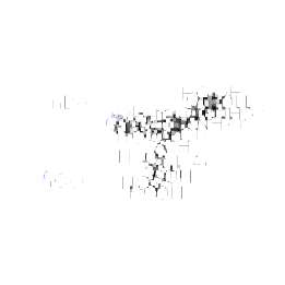 CCCCCCCC/C=C\CCCCCCCCCCCCCCCC(=O)N[C@@H](CO[C@@H]1OC(CO)[C@@H](O[C@@H]2OC(CO[C@@H]3OC(CO)[C@@H](O[C@@H]4OC(CO)[C@H](O)[C@H](O)C4O)[C@H](O)C3NC(C)=O)[C@H](O)[C@H](O[C@H]3OC(CO)[C@H](O)[C@H](O[C@@H]4OC(CO)[C@H](O)[C@H](O[C@H]5OC(CO)[C@H](O)[C@H](O)C5NC(C)=O)C4NC(C)=O)C3O)C2O)[C@H](O)C1O)[C@H](O)/C=C/CCCCCCCCCCCCC